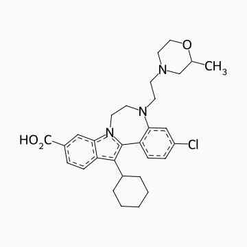 CC1CN(CCN2CCn3c(c(C4CCCCC4)c4ccc(C(=O)O)cc43)-c3ccc(Cl)cc32)CCO1